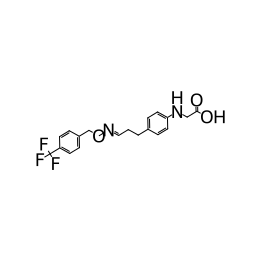 O=C(O)CNc1ccc(CCC=NOCc2ccc(C(F)(F)F)cc2)cc1